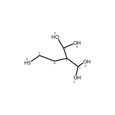 OC(O)C(CCS)C(O)O